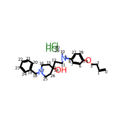 C=CCCOc1ccc(N(C)CCC2(O)CCN(Cc3ccccc3)CC2)cc1.Cl.Cl